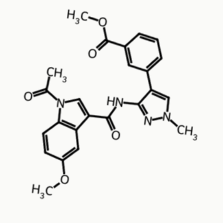 COC(=O)c1cccc(-c2cn(C)nc2NC(=O)c2cn(C(C)=O)c3ccc(OC)cc23)c1